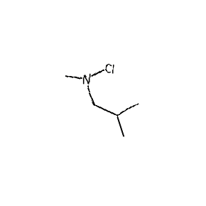 CC(C)CN(C)Cl